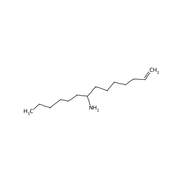 C=CCCCCCC(N)CCCCCC